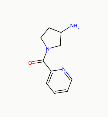 NC1CCN(C(=O)c2ccccn2)C1